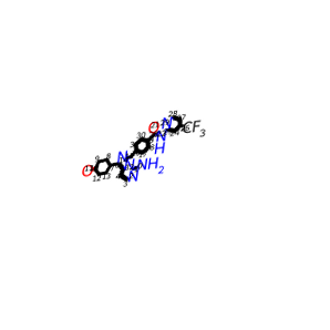 Nc1nccc2c(C3CCC(=O)CC3)nc(-c3ccc(C(=O)Nc4cc(C(F)(F)F)ccn4)cc3)n12